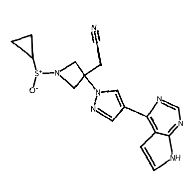 N#CCC1(n2cc(-c3ncnc4[nH]ccc34)cn2)CN([S+]([O-])C2CC2)C1